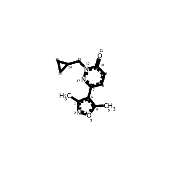 Cc1noc(C)c1-c1ccc(=O)n(CC2CC2)n1